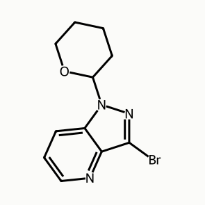 Brc1nn(C2CCCCO2)c2cccnc12